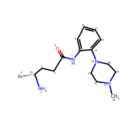 CC(=O)[C@@H](N)CCC(=O)Nc1ccccc1N1CCN(C)CC1